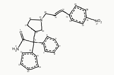 NC(=O)C(c1ccccc1)(c1ccccc1)C1CCN(CC=Cc2ccc([N+](=O)[O-])cc2)C1